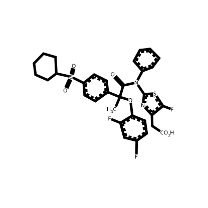 CC(Oc1ccc(F)cc1F)(C(=O)N(c1ccccc1)c1nc(CC(=O)O)c(F)s1)c1ccc(S(=O)(=O)C2CCCCC2)cc1